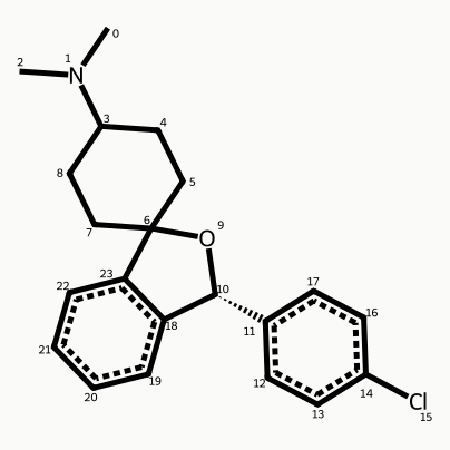 CN(C)C1CCC2(CC1)O[C@H](c1ccc(Cl)cc1)c1ccccc12